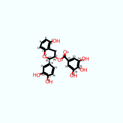 O=C(O[C@@H]1Cc2c(O)cccc2O[C@@H]1c1ccc(O)c(O)c1)c1cc(O)c(O)c(O)c1